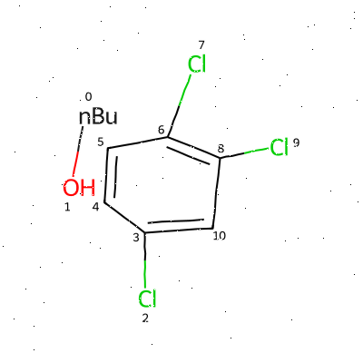 CCCCO.Clc1ccc(Cl)c(Cl)c1